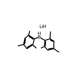 Cc1cc(C)c(Bc2c(C)cc(C)cc2C)c(C)c1.[LiH]